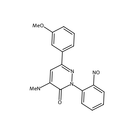 CNc1cc(-c2cccc(OC)c2)nn(-c2ccccc2N=O)c1=O